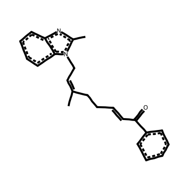 CC(=CCn1c(C)nc2ccccc21)CCC=CC(=O)c1ccccc1